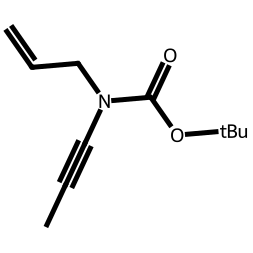 C=CCN(C#CC)C(=O)OC(C)(C)C